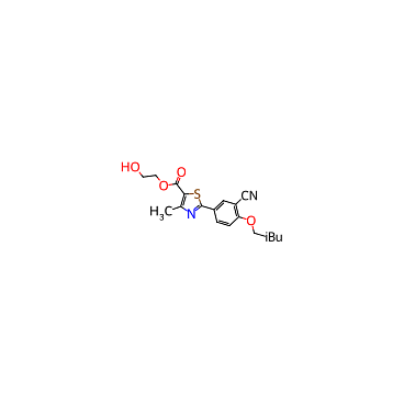 CCC(C)COc1ccc(-c2nc(C)c(C(=O)OCCO)s2)cc1C#N